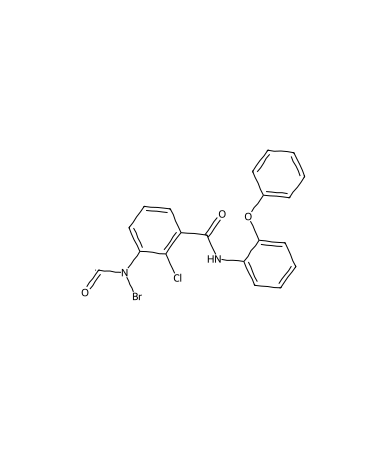 O=[C]N(Br)c1cccc(C(=O)Nc2ccccc2Oc2ccccc2)c1Cl